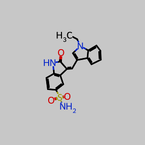 CCn1cc(C=C2C(=O)Nc3ccc(S(N)(=O)=O)cc32)c2ccccc21